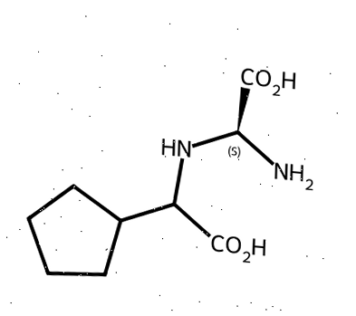 N[C@@H](NC(C(=O)O)C1CCCC1)C(=O)O